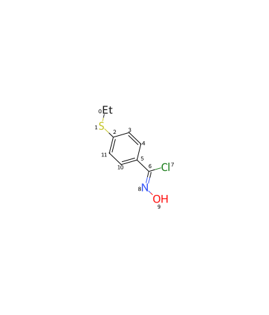 CCSc1ccc(C(Cl)=NO)cc1